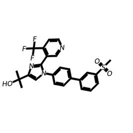 CC(C)(O)c1cn(-c2ccc(-c3cccc(S(C)(=O)=O)c3)cc2)c(-c2cnccc2C(F)(F)F)n1